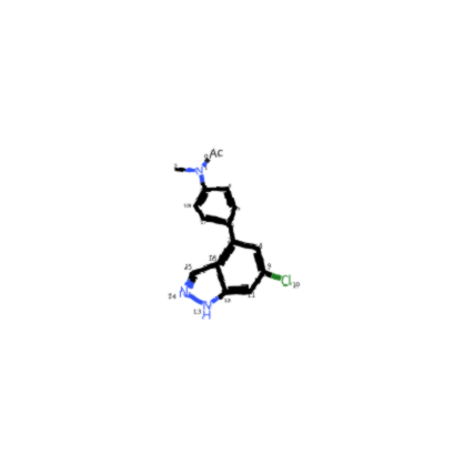 CC(=O)N(C)c1ccc(-c2cc(Cl)cc3[nH]ncc23)cc1